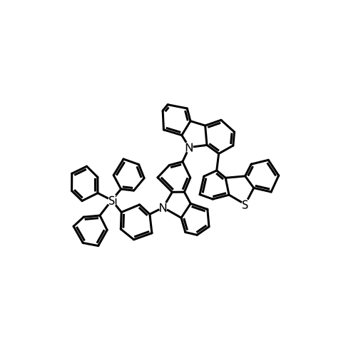 c1ccc([Si](c2ccccc2)(c2ccccc2)c2cccc(-n3c4ccccc4c4cc(-n5c6ccccc6c6cccc(-c7cccc8sc9ccccc9c78)c65)ccc43)c2)cc1